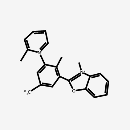 Cc1c(-c2oc3ccccc3[n+]2C)cc(C(F)(F)F)cc1-[n+]1ccccc1C